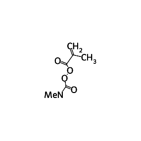 C=C(C)C(=O)OOC(=O)NC